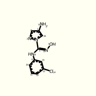 Nc1cnn(C(=NO)Nc2cccc(Cl)c2)c1